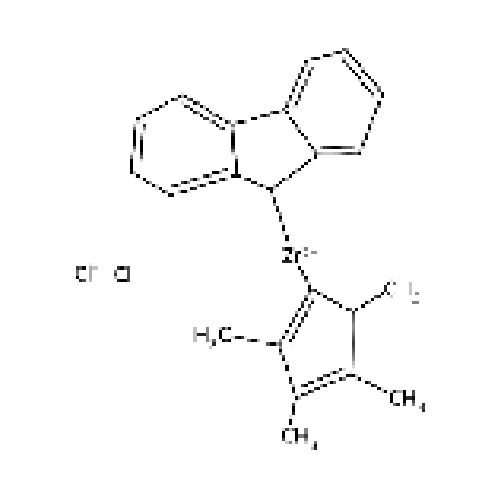 CC1=C(C)C(C)[C]([Zr+2][CH]2c3ccccc3-c3ccccc32)=C1C.[Cl-].[Cl-]